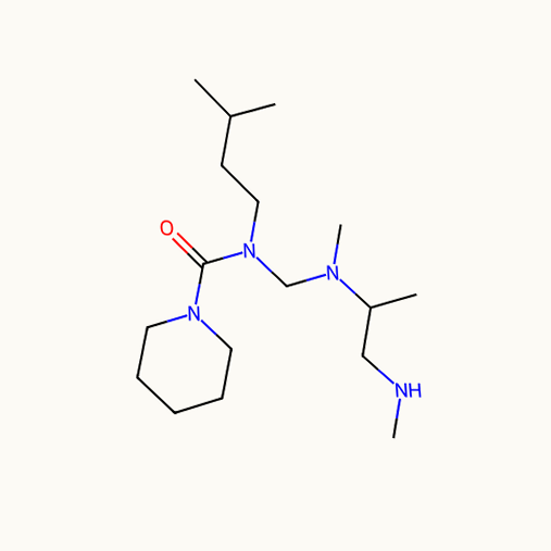 CNCC(C)N(C)CN(CCC(C)C)C(=O)N1CCCCC1